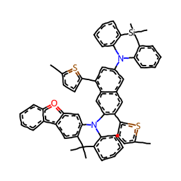 Cc1ccc(-c2cc3cc(N4c5ccccc5[Si](C)(C)c5ccccc54)cc(-c4ccc(C)s4)c3cc2N2c3ccccc3C(C)(C)c3cc4c(cc32)oc2ccccc24)s1